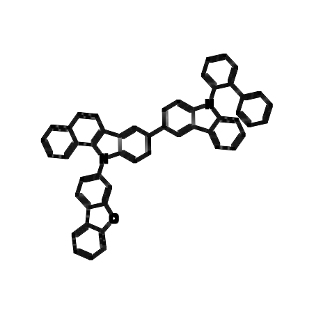 c1ccc(-c2ccccc2-n2c3ccccc3c3cc(-c4ccc5c(c4)c4ccc6ccccc6c4n5-c4ccc5c(c4)oc4ccccc45)ccc32)cc1